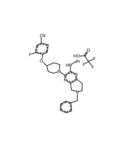 CC(C)Nc1nc2c(nc1N1CCC(Oc3ccc(C#N)cc3F)CC1)CN(Cc1ccccc1)CC2.O=C(O)C(F)(F)F